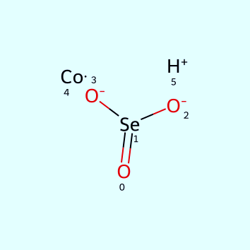 O=[Se]([O-])[O-].[Co].[H+]